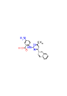 Cc1cc(-c2ccc3ccccc3c2)nc(Nc2ccc(N)cc2C(=O)O)n1